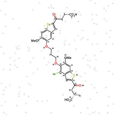 COc1cc2sc(C(=O)CCC(=O)O)cc2cc1OCCCOc1c(OC)cc2sc(C(=O)C[C@H](C)C(=O)O)cc2c1F